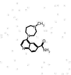 CN1CCCN(c2ccnc3ccc(C(N)=O)cc23)CC1